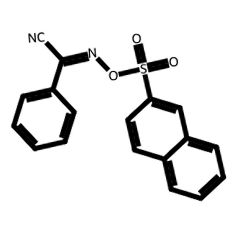 N#CC(=NOS(=O)(=O)c1ccc2ccccc2c1)c1ccccc1